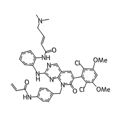 C=CC(=O)Nc1ccc(Cn2c(=O)c(-c3c(Cl)c(OC)cc(OC)c3Cl)cc3cnc(Nc4ccccc4NC(=O)/C=C/CN(C)C)nc32)cc1